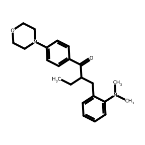 CCC(Cc1ccccc1N(C)C)C(=O)c1ccc(N2CCOCC2)cc1